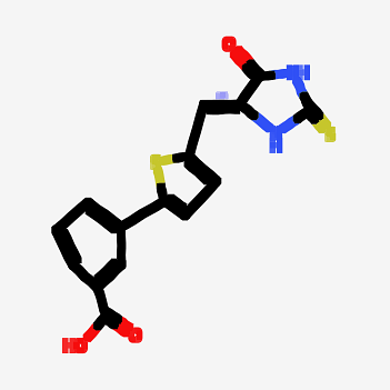 O=C1NC(=S)N/C1=C\c1ccc(-c2cccc(C(=O)O)c2)s1